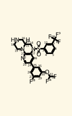 O=S(=O)(c1cccc(C(F)(F)F)c1)N1C[C@H]2CNCCN2c2ncc(-c3cc(F)cc(OC(F)F)c3)cc21